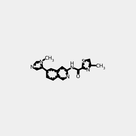 Cc1csc(C(=O)Nc2cc3cc(-c4cncn4C)ccc3cn2)n1